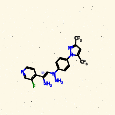 N/C(=C\N(N)c1ccc(-n2nc(C(F)(F)F)cc2C(F)(F)F)cc1)c1ccncc1F